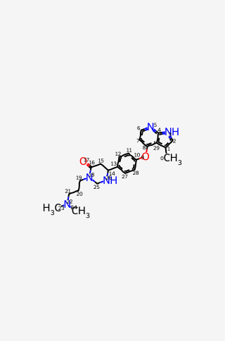 Cc1c[nH]c2nccc(Oc3ccc(C4CC(=O)N(CCCN(C)C)CN4)cc3)c12